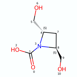 O=C(O)N1[C@H](CO)C[C@H]1CO